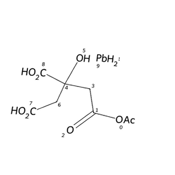 CC(=O)OC(=O)CC(O)(CC(=O)O)C(=O)O.[PbH2]